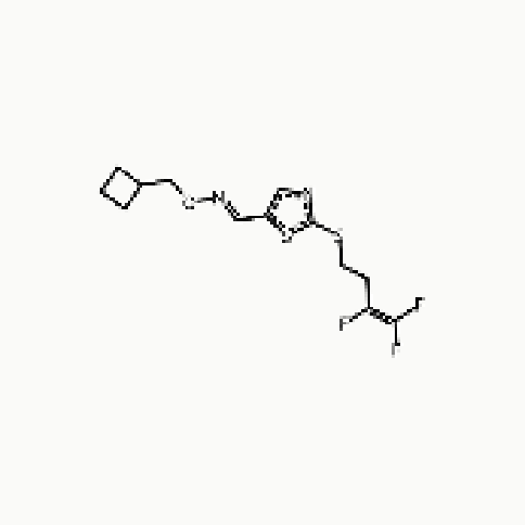 FC(F)=C(F)CCSc1ncc(C=NOCC2CCC2)s1